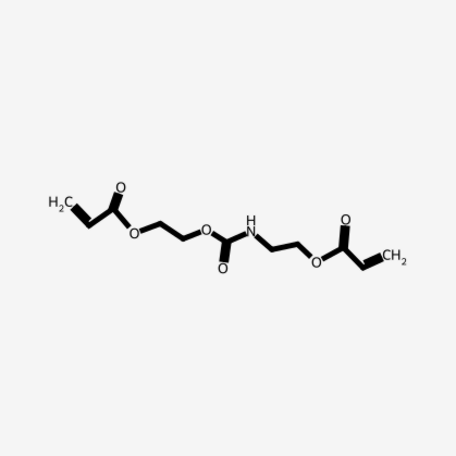 C=CC(=O)OCCNC(=O)OCCOC(=O)C=C